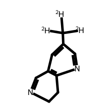 [2H]C([2H])([2H])c1cnc2c(c1)C=NCC2